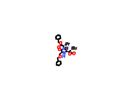 CC[C@H](C)[C@@H]1C(=O)O[C@H]1C(=O)N[C@@H](COCc1ccccc1)C(=O)N[C@H](C(=O)OCc1ccccc1)C(C)C